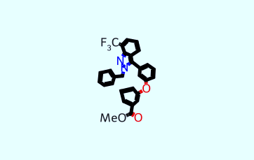 COC(=O)c1cccc(Oc2cccc(-c3c4cccc(C(F)(F)F)c4nn3Cc3ccccc3)c2)c1